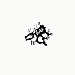 Cc1ccc(C(=O)N2[C@@H]3CC[C@H]2[C@H](Nc2ncc(C(F)(F)F)cc2F)C3)c(-n2nccn2)c1F